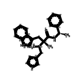 C[C@H](NC(=O)[C@@](C)(Cc1c[nH]c2ccccc12)N(Cc1ccsc1)C(=O)O)c1ccccc1